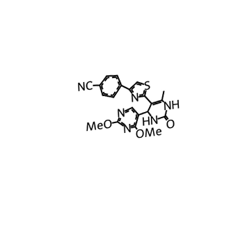 COc1ncc(C2NC(=O)NC(C)=C2c2nc(-c3ccc(C#N)cc3)cs2)c(OC)n1